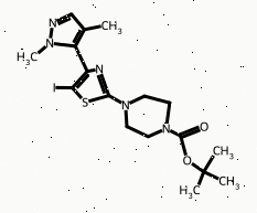 Cc1cnn(C)c1-c1nc(N2CCN(C(=O)OC(C)(C)C)CC2)sc1I